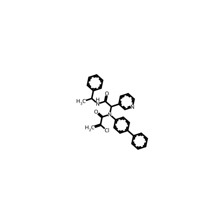 C=C(Cl)C(=O)N(c1ccc(-c2ccccc2)cc1)C(C(=O)NC(C)c1ccccc1)c1cccnc1